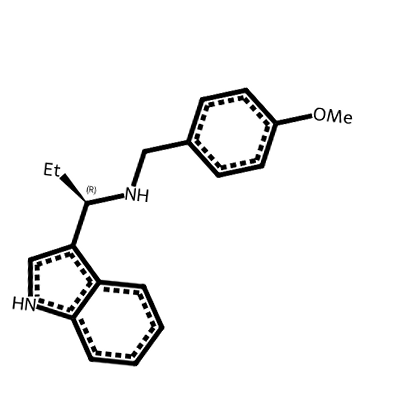 CC[C@@H](NCc1ccc(OC)cc1)c1c[nH]c2ccccc12